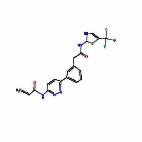 C=CC(=O)Nc1ccc(-c2cccc(CC(=O)NC3NC=C(C(F)(F)F)S3)c2)nn1